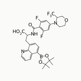 CC1(C)OB(c2ccc(CC(NC(=O)c3c(F)cc(N4CCOCC4C(F)(F)F)cc3F)C(=O)O)c3ncccc23)OC1(C)C